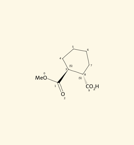 COC(=O)[C@H]1CCCC[C@@H]1C(=O)O